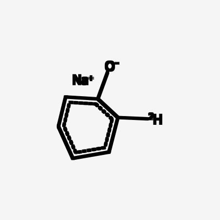 [2H]c1ccccc1[O-].[Na+]